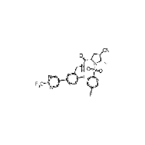 C[C@H]1[C@H](C#N)C[C@@H](C(=O)NCc2cc(-c3cnc(C(F)(F)F)nc3)ccc2F)N1S(=O)(=O)c1ccc(F)cc1